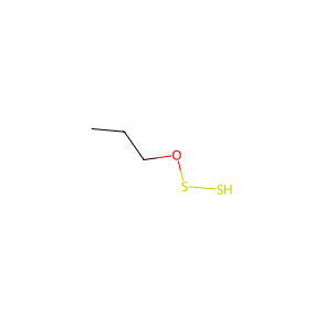 CCCOSS